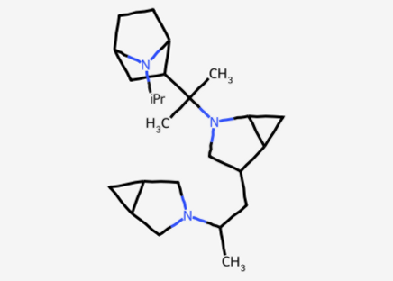 CC(CC1CN(C(C)(C)C2CC3CCC2N3C(C)C)C2CC12)N1CC2CC2C1